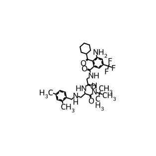 Cc1ccc(CNCC(NC(=O)CNC(=O)c2cc(C(F)(F)F)cc(N)c2C(=O)C2CCCCC2)C(=O)NC(C)(C)C)c(C)c1